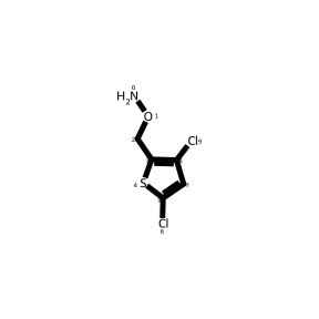 NOCc1sc(Cl)cc1Cl